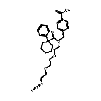 [N-]=[N+]=NCCOCCOCCN(Cc1ccc(C(=O)O)cc1)C(=O)C1(c2ccccc2)CCCCC1